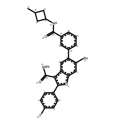 CCC(C)c1cc2oc(-c3ccc(F)cc3)c(C(=O)NC)c2cc1-c1cccc(C(=O)NC2CC(C)C2)c1